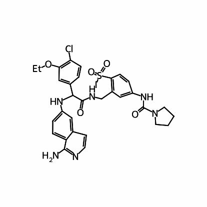 CCOc1cc(C(Nc2ccc3c(N)nccc3c2)C(=O)NCc2cc(NC(=O)N3CCCC3)ccc2S(=O)(=O)I)ccc1Cl